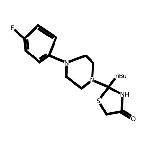 CCCCC1(N2CCN(c3ccc(F)cc3)CC2)NC(=O)CS1